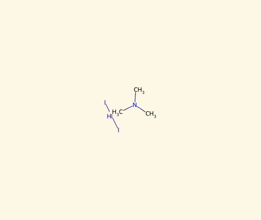 CN(C)C.I[IH]I